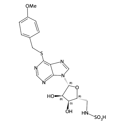 COc1ccc(CSc2ncnc3c2ncn3[C@@H]2O[C@H](CNS(=O)(=O)O)[C@@H](O)[C@H]2O)cc1